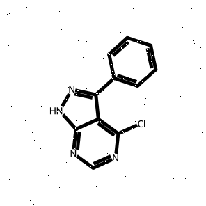 Clc1ncnc2[nH]nc(-c3ccccc3)c12